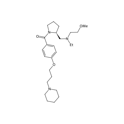 CCN(CCOC)C[C@@H]1CCCN1C(=O)c1ccc(OCCCN2CCCCC2)cc1